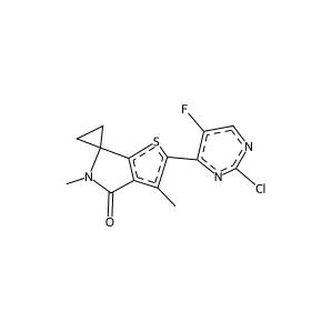 Cc1c(-c2nc(Cl)ncc2F)sc2c1C(=O)N(C)C21CC1